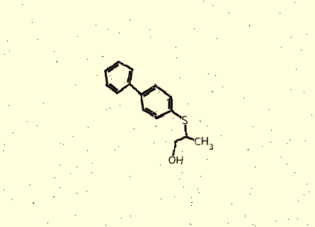 CC(CO)Sc1ccc(-c2ccccc2)cc1